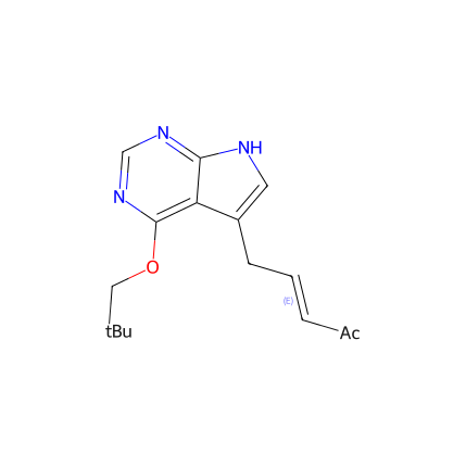 CC(=O)/C=C/Cc1c[nH]c2ncnc(OCC(C)(C)C)c12